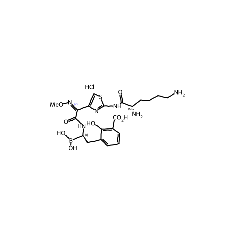 CO/N=C(\C(=O)N[C@@H](Cc1cccc(C(=O)O)c1O)B(O)O)c1csc(NC(=O)[C@@H](N)CCCCN)n1.Cl